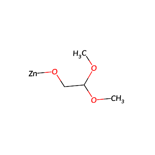 COC(C[O][Zn])OC